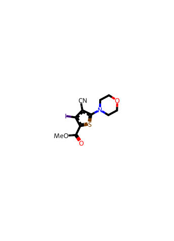 COC(=O)c1sc(N2CCOCC2)c(C#N)c1I